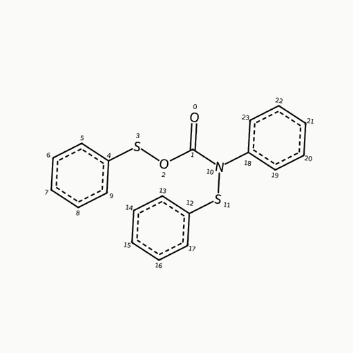 O=C(OSc1ccccc1)N(Sc1ccccc1)c1ccccc1